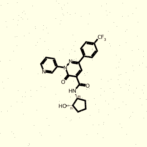 O=C(N[C@@H]1CCC[C@@H]1O)c1cc(-c2ccc(C(F)(F)F)cc2)nn(-c2cccnc2)c1=O